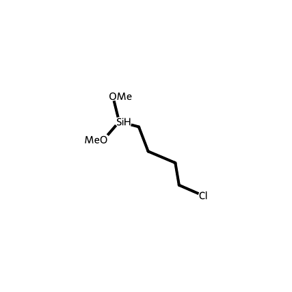 CO[SiH](CCCCCl)OC